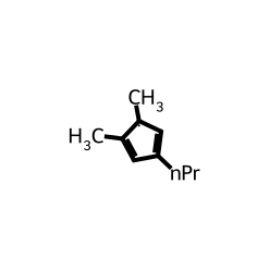 CCCC1=C[C](C)C(C)=C1